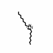 CCCCCCCCn1cc(CCCCCCC)nn1